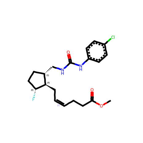 COC(=O)CC/C=C\C[C@@H]1[C@@H](CNC(=O)Nc2ccc(Cl)cc2)CC[C@H]1F